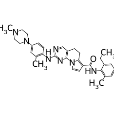 CCc1cccc(C)c1NC(=O)c1ccn2c1CCc1cnc(Nc3ccc(N4CCN(C)CC4)cc3C)nc1-2